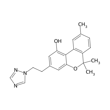 Cc1ccc2c(c1)-c1c(O)cc(CCn3cncn3)cc1OC2(C)C